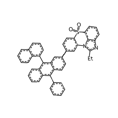 CCc1nc2cccc3c2n1-c1cc(-c2ccc4c(-c5ccccc5)c5ccccc5c(-c5cccc6ccccc56)c4c2)ccc1S3(=O)=O